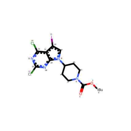 CC(C)(C)OC(=O)N1CCC(n2cc(I)c3c(Cl)nc(Cl)nc32)CC1